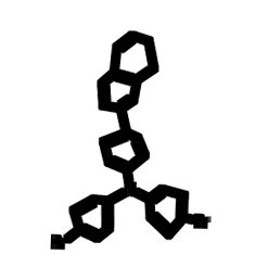 Brc1ccc(N(c2ccc(Br)cc2)c2ccc(-c3ccc4c(c3)CCC=C4)cc2)cc1